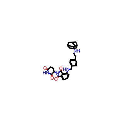 O=C1CCC(N2C(=O)c3cccc(NCc4ccc(CCNC56CC7CC(CC(C7)C5)C6)cc4)c3C2=O)C(=O)N1